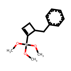 CO[Si](OC)(OC)C1=CCC1Cc1ccccc1